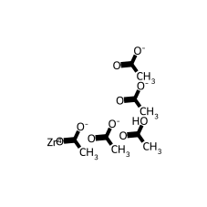 CC(=O)O.CC(=O)[O-].CC(=O)[O-].CC(=O)[O-].CC(=O)[O-].[Zr+4]